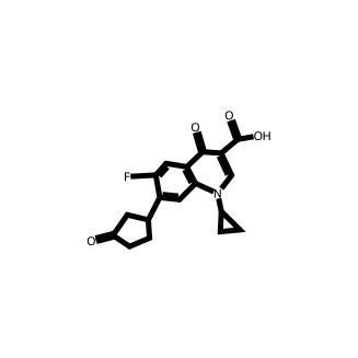 O=C1CCC(c2cc3c(cc2F)c(=O)c(C(=O)O)cn3C2CC2)C1